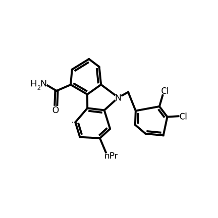 CCCc1c[c]c2c3c(C(N)=O)cccc3n(Cc3cccc(Cl)c3Cl)c2c1